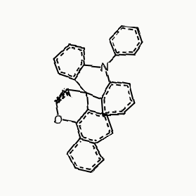 c1ccc(N2c3ccccc3C3(c4ccccc4Oc4c3ccc3ccccc43)c3ccccc32)cc1